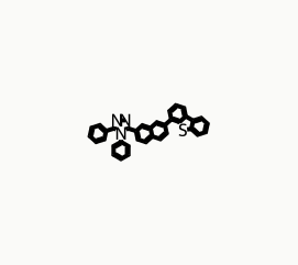 c1ccc(-c2nnc(-c3ccc4ccc(-c5cccc6c5sc5ccccc56)cc4c3)n2-c2ccccc2)cc1